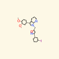 COc1ccc(-c2cn(Cc3cc(-c4cccc(I)c4)no3)c3ncccc23)cc1OC